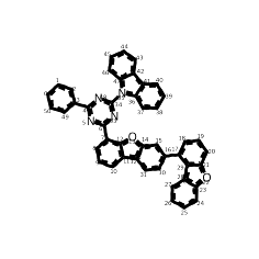 c1ccc(-c2nc(-c3cccc4c3oc3cc(-c5cccc6oc7ccccc7c56)ccc34)nc(-n3c4ccccc4c4ccccc43)n2)cc1